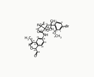 COc1cc(Br)ccc1C(C)(C)CC(O)(C(=O)Nc1ccc2c(c1)C(C)=NOC2C=O)C(F)(F)F